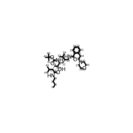 CCCCNC(=O)[C@@H](C[C@H](O)[C@H](C[C@H](CNC(=O)c1ccccc1CCN1CCOCC1)C(C)C)NC(=O)OC(C)(C)C)C(C)C